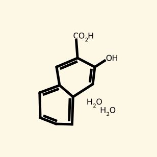 O.O.O=C(O)c1cc2ccccc2cc1O